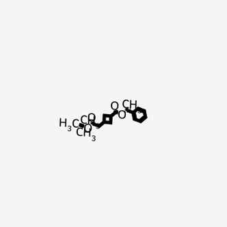 C[C@H](OC(=O)C1CC(CC(=O)OC(C)(C)C)C1)c1ccccc1